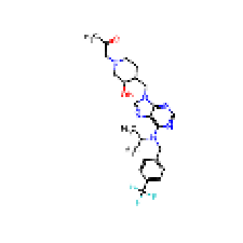 CC(=O)CN1CCC(Cn2cnc3c(N(Cc4ccc(C(F)(F)F)cc4)C(C)C)ncnc32)C(O)C1